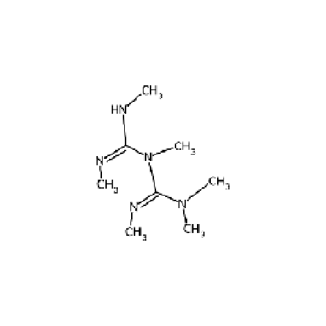 CN=C(NC)N(C)C(=NC)N(C)C